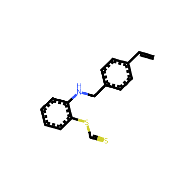 C=Cc1ccc(CNc2ccccc2SC=S)cc1